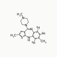 [2H]c1c([2H])c2c(c([2H])c1C)Nc1sc(C)cc1C(N1CCN(C)CC1)=N2